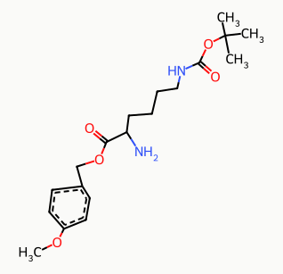 COc1ccc(COC(=O)C(N)CCCCNC(=O)OC(C)(C)C)cc1